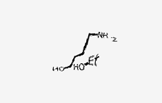 CCO.NCCCCO